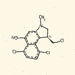 CN1C[C@@H](CCl)c2c1cc(O)c1c(Cl)ccc(Cl)c21